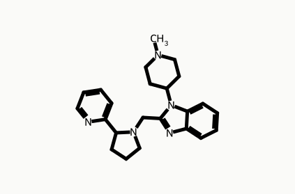 CN1CCC(n2c(CN3CCCC3c3ccccn3)nc3ccccc32)CC1